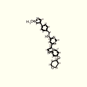 Cn1cc(-c2ccc(CNc3cc(-c4cnc5cc(OC6CCOCC6)ccn45)ncn3)cc2)cn1